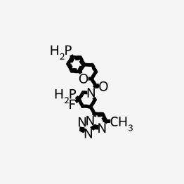 Cc1cc(C2CN(C(=O)C3CCc4cc(P)ccc4O3)CC(F)(P)C2)n2ncnc2n1